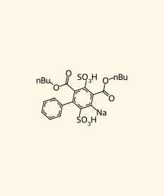 CCCCOC(=O)c1[c]([Na])c(S(=O)(=O)O)c(-c2ccccc2)c(C(=O)OCCCC)c1S(=O)(=O)O